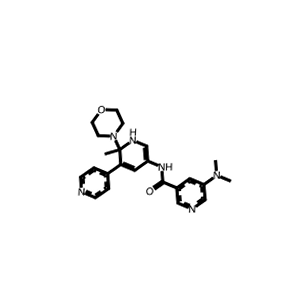 CN(C)c1cncc(C(=O)NC2=CNC(C)(N3CCOCC3)C(c3ccncc3)=C2)c1